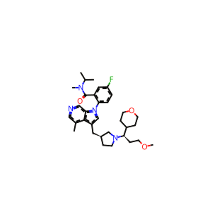 COCC[C@H](C1CCOCC1)N1CC[C@@H](Cc2cn(-c3ccc(F)cc3C(=O)N(C)C(C)C)c3cncc(C)c23)C1